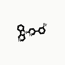 Brc1cccc(-c2ccc(-n3c4ccccc4c4cnccc43)nc2)c1